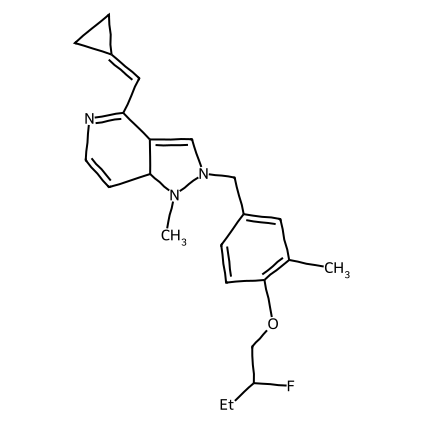 CCC(F)COc1ccc(CN2C=C3C(C=C4CC4)=NC=CC3N2C)cc1C